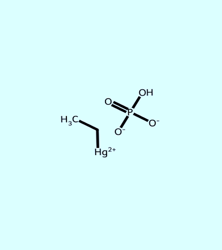 C[CH2][Hg+2].O=P([O-])([O-])O